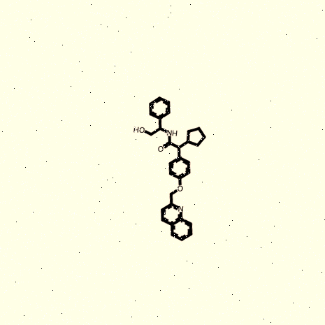 O=C(NC(CO)c1ccccc1)C(c1ccc(OCc2ccc3ccccc3n2)cc1)C1CCCC1